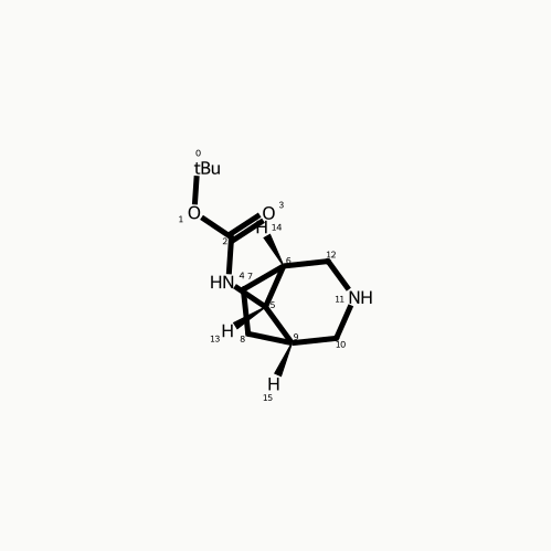 CC(C)(C)OC(=O)N[C@@H]1[C@@H]2CC[C@H]1CNC2